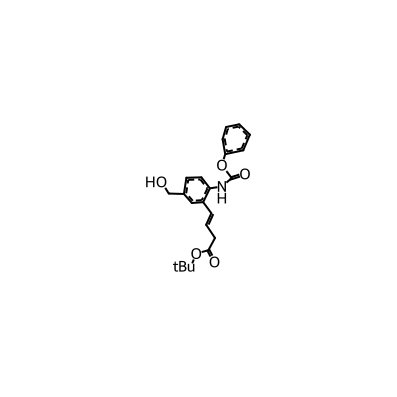 CC(C)(C)OC(=O)CC=Cc1cc(CO)ccc1NC(=O)Oc1ccccc1